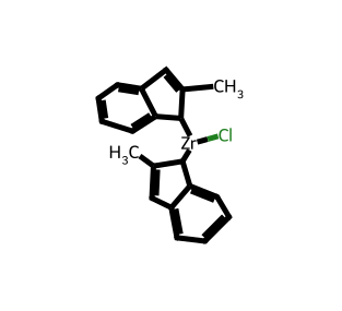 CC1=Cc2ccccc2[CH]1[Zr]([Cl])[CH]1C(C)=Cc2ccccc21